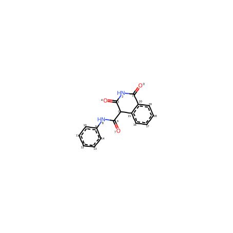 O=C1NC(=O)C(C(=O)Nc2ccccc2)c2ccccc21